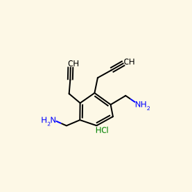 C#CCc1c(CN)ccc(CN)c1CC#C.Cl